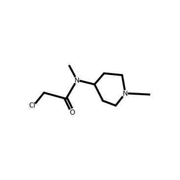 CN1CCC(N(C)C(=O)CCl)CC1